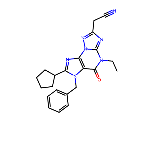 CCn1c(=O)c2c(nc(C3CCCC3)n2Cc2ccccc2)n2nc(CC#N)nc12